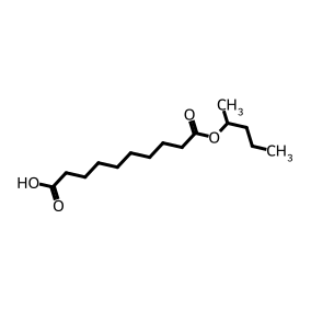 CCCC(C)OC(=O)CCCCCCCCC(=O)O